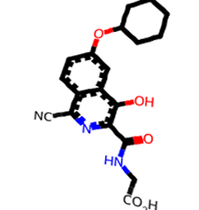 N#Cc1nc(C(=O)NCC(=O)O)c(O)c2cc(OC3CCCCC3)ccc12